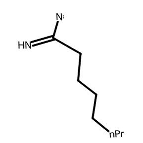 CCCCCCCC([N])=N